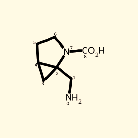 NCC12CC1CCN2C(=O)O